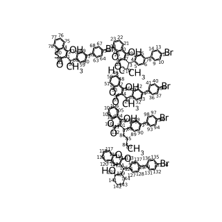 CC(C)C(c1ccc(-c2ccc(Br)cc2)cc1)c1c(O)c2ccccc2oc1=O.CC(c1ccc(-c2ccc(Br)cc2)cc1)c1c(O)c2ccccc2oc1=O.CC(c1ccc(-c2ccc(Br)cc2)cc1)c1c(O)c2ccccc2sc1=O.CCCCC(c1ccc(-c2ccc(Br)cc2)cc1)c1c(O)c2ccccc2oc1=O.O=c1oc2ccccc2c(O)c1C(c1ccc(-c2ccc(Br)cc2)cc1)C1CCCCC1